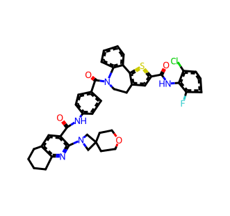 O=C(Nc1c(F)cccc1Cl)c1cc2c(s1)-c1ccccc1N(C(=O)c1ccc(NC(=O)c3cc4c(nc3N3CC5(CCOCC5)C3)CCCC4)cc1)CC2